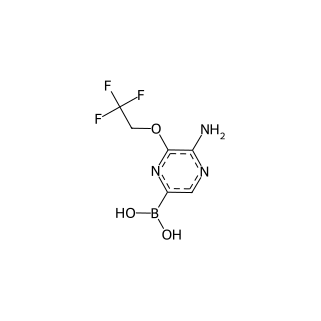 Nc1ncc(B(O)O)nc1OCC(F)(F)F